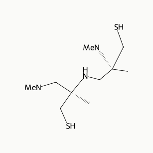 CNC[C@](C)(CS)NC[C@](C)(CS)NC